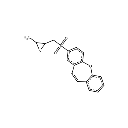 CC1SC1CS(=O)(=O)c1ccc2c(c1)N=Cc1ccccc1O2